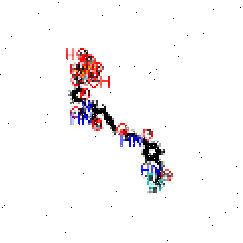 O=C(NCCOCC#CCc1cn([C@H]2CC[C@@H](COP(OO)(OOO)(P(=O)=O)P(=O)=O)O2)c(=O)[nH]c1=O)c1ccc(CNC(=O)C(F)(F)F)cc1